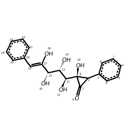 O=C1C(c2ccccc2)[C@@]1(O)[C@@H](O)[C@@H](O)[C@H](O)C(O)=Cc1ccccc1